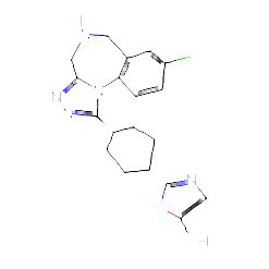 Cc1cnc([C@H]2CC[C@H](c3nnc4n3-c3ccc(Cl)cc3CNC4)CC2)o1